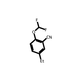 CCc1ccc(OC(F)F)c(C#N)c1